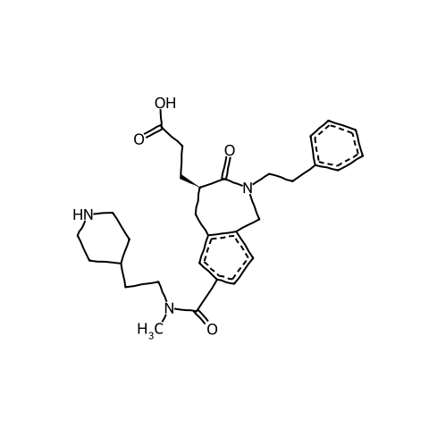 CN(CCC1CCNCC1)C(=O)c1ccc2c(c1)C[C@@H](CCC(=O)O)C(=O)N(CCc1ccccc1)C2